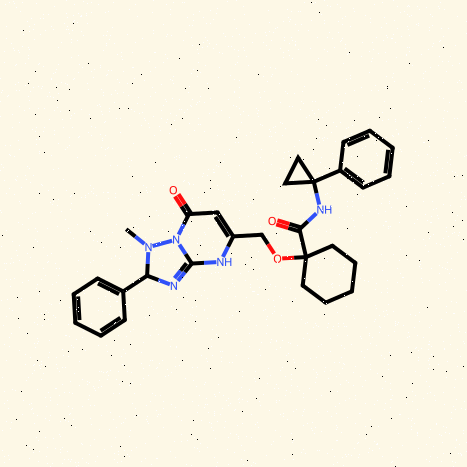 CN1C(c2ccccc2)N=C2NC(COC3(C(=O)NC4(c5ccccc5)CC4)CCCCC3)=CC(=O)N21